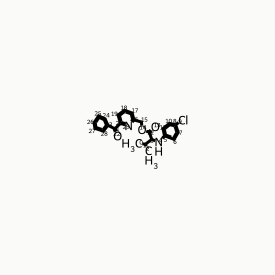 CC(C)C(Nc1ccc(Cl)cc1)C(=O)OCc1cccc(C(=O)c2ccccc2)n1